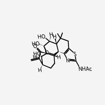 C=C1C(=O)[C@]23[C@H](O)[C@H]1CC[C@H]2[C@@]12CO[C@@]3(O)[C@@H](O)[C@@H]1C(C)(C)Cc1sc(NC(C)=O)nc12